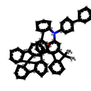 CC1(C)c2ccccc2-c2ccc(N(c3ccc(-c4ccccc4)cc3)c3ccccc3-c3ccc(-c4cccc5c4C4(c6ccccc6-c6ccccc64)c4ccccc4-5)cc3)cc21